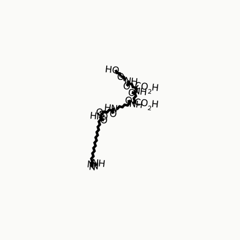 O=C(CCCS(=O)(=O)NC(=O)CCCCCCCCCCCCCCCc1nnn[nH]1)NCCCCCC(=O)N[C@@H](CCC(=O)N[C@@H](CCC(=O)NCCOCCO)C(=O)O)C(=O)O